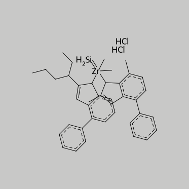 CCCC(CC)C1=Cc2c(-c3ccccc3)cccc2[CH]1[Zr]([CH3])([CH3])(=[SiH2])[CH]1C(C)=Cc2c(-c3ccccc3)ccc(C)c21.Cl.Cl